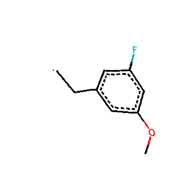 [CH2]Cc1cc(F)cc(OC)c1